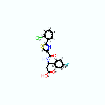 O=C(O)CC(NC(=O)c1csc(-c2ccccc2Cl)n1)c1ccc(F)cc1